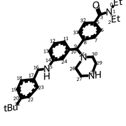 CCN(CC)C(=O)c1ccc(C(c2cccc(NCc3ccc(C(C)(C)C)cc3)c2)N2CCNCC2)cc1